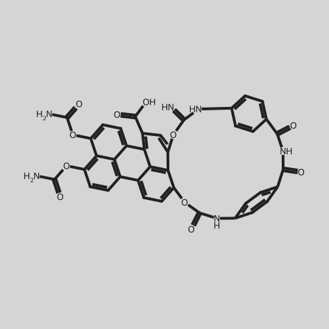 N=C1Nc2ccc(cc2)C(=O)NC(=O)c2ccc(cc2)NC(=O)Oc2ccc3c4ccc(OC(N)=O)c5c(OC(N)=O)ccc(c6c(C(=O)O)cc(c2c36)O1)c54